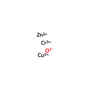 [Cr+3].[Cu+2].[O-2].[Zn+2]